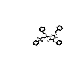 O=C(NC(Cc1ccccc1)C(=O)N[C@H](/C=C/S(=O)(=O)c1ccccc1)CCc1ccccc1)OCc1ccccc1